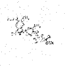 CCCCOC(=O)N(C)Cc1cc(Cl)sc1-c1ccc(O[C@H]2CCC[C@H](C(=O)OC)C2)c(C)n1